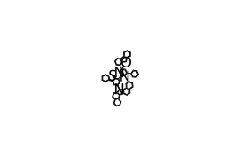 c1ccc(-c2cc(-c3cccc4c3oc3ccccc34)nc(-c3cc(-n4c5ccc6ccccc6c5c5ccc6ccccc6c54)cc4c3sc3ccccc34)n2)cc1